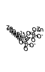 O=P([O-])([O-])[O-].O=P([O-])([O-])[O-].[Mn+2].[Mn+2].[Mn+2].[Zn].[Zn].[Zn]